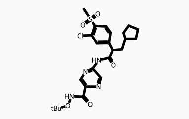 CC(C)(C)ONC(=O)c1cnc(NC(=O)C(CC2CCCC2)c2ccc(S(C)(=O)=O)c(Cl)c2)cn1